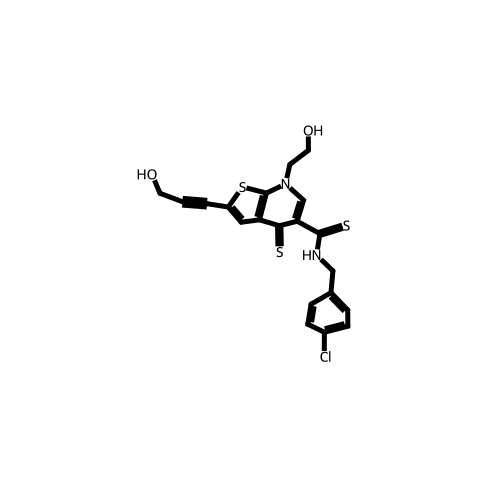 OCC#Cc1cc2c(=S)c(C(=S)NCc3ccc(Cl)cc3)cn(CCO)c2s1